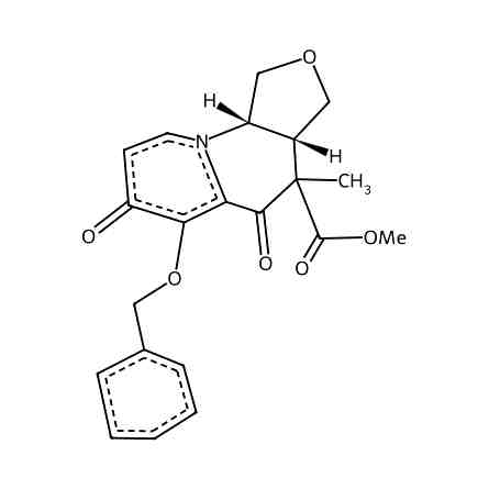 COC(=O)C1(C)C(=O)c2c(OCc3ccccc3)c(=O)ccn2[C@@H]2COC[C@@H]21